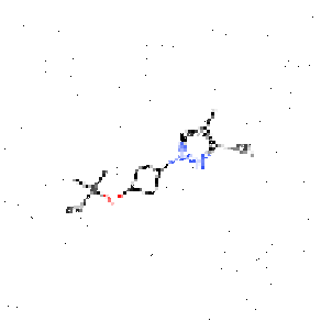 Cc1cn(C2CC(O[Si](C)(C)C(C)(C)C)C2)nc1C(F)(F)F